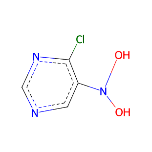 ON(O)c1cncnc1Cl